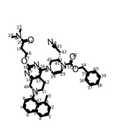 Cc1cccc2cccc(N3CCc4c(nc(OCCC(=O)N(C)C)nc4N4C=CN(C(=O)OCc5ccccc5)[C@@H](CC#N)C4)C3)c12